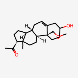 COC[C@]12CCC(O)CC1=CC[C@H]1[C@@H]3CC[C@H](C(C)=O)C3(C)CC[C@@H]12